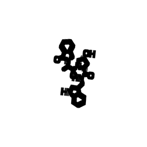 CC(C(=O)N1C[C@H](O)C[C@H]1C(=O)NCc1c[nH]c2ccccc12)N1Cc2ccccc2C1=O